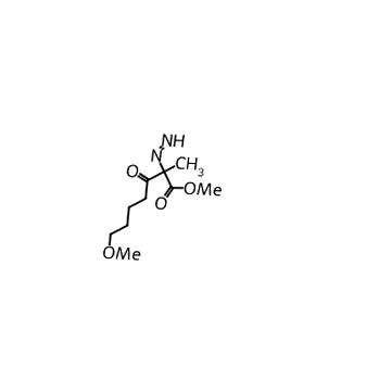 COCCCCC(=O)C(C)(N=N)C(=O)OC